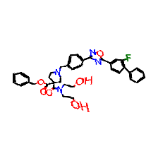 O=C(OCc1ccccc1)C1(C(=O)N(CCO)CCO)CCN(Cc2ccc(-c3noc(-c4ccc(-c5ccccc5)c(F)c4)n3)cc2)CC1